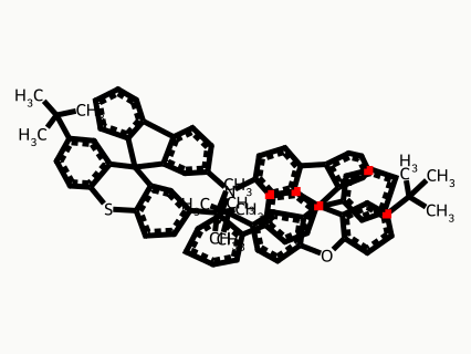 CC(C)(C)c1ccc2c(c1)C1(c3cc(C(C)(C)C)ccc3O2)c2ccccc2-c2ccc(N(c3ccc4c(c3)C3(c5cc(C(C)(C)C)ccc5Sc5ccc(C(C)(C)C)cc53)c3ccccc3-4)c3ccccc3-c3ccc(-c4ccccc4)cc3)cc21